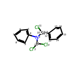 ClB(Cl)N(c1ccccc1)[SiH](Cl)c1ccccc1